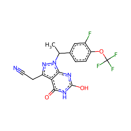 CC(c1ccc(OC(F)(F)F)c(F)c1)n1nc(CC#N)c2c(=O)[nH]c(O)nc21